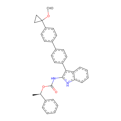 C[C@@H](OC(=O)Nc1[nH]c2ccccc2c1-c1ccc(-c2ccc(C3(OC=O)CC3)cc2)cc1)c1ccccc1